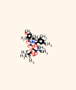 COc1cccc(C(=O)N(C(=O)OC(OC(=O)C(C)(C)C)C(=O)N(C)C)N(C(=O)c2cc(C)cc(C)c2)C(C)(C)C)c1C